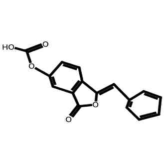 O=C(O)Oc1ccc2c(c1)C(=O)OC2=Cc1ccccc1